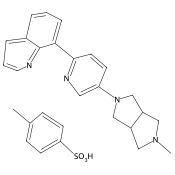 CN1CC2CN(c3ccc(-c4cccc5cccnc45)nc3)CC2C1.Cc1ccc(S(=O)(=O)O)cc1